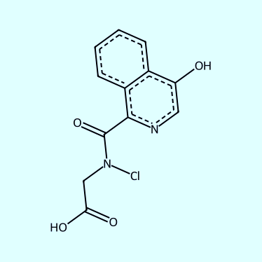 O=C(O)CN(Cl)C(=O)c1ncc(O)c2ccccc12